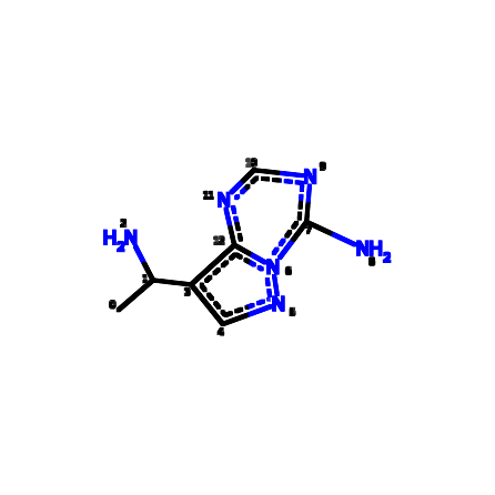 CC(N)c1cnn2c(N)ncnc12